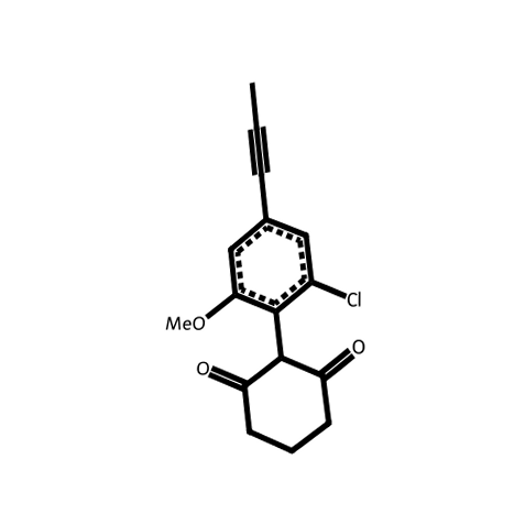 CC#Cc1cc(Cl)c(C2C(=O)CCCC2=O)c(OC)c1